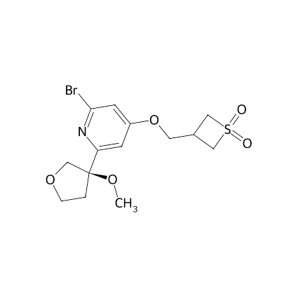 CO[C@@]1(c2cc(OCC3CS(=O)(=O)C3)cc(Br)n2)CCOC1